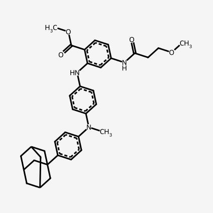 COCCC(=O)Nc1ccc(C(=O)OC)c(Nc2ccc(N(C)c3ccc(C45CC6CC(CC(C6)C4)C5)cc3)cc2)c1